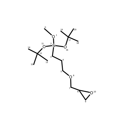 CO[Si](CCCOCC1CO1)(OC(C)(C)C)OC(C)(C)C